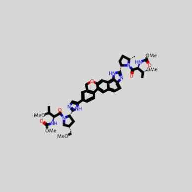 COC[C@H]1C[C@@H](c2ncc(-c3ccc4c(c3)COc3cc5c(ccc6nc([C@@H]7CC[C@H](C)N7C(=O)[C@@H](NC(=O)OC)[C@@H](C)OC)[nH]c65)cc3-4)[nH]2)N(C(=O)[C@@H](NC(=O)OC)C(C)OC)C1